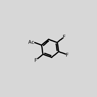 CC(=O)c1cc(F)c(F)cc1F